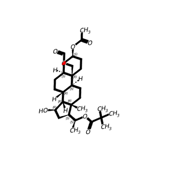 CC(=O)O[C@H]1CC[C@@]2(COC=O)[C@@H](CC[C@H]3[C@H]4[C@H](O)C[C@H]([C@H](C)OC(=O)C(C)(C)C)[C@@]4(C)CC[C@@H]32)C1